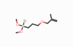 C=C(C)COCCC[Si](Br)(OC)OC